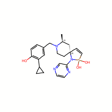 C[C@H]1C[C@@]2(C=CS(O)(O)N2c2cnccn2)CCN1Cc1ccc(O)c(C2CC2)c1